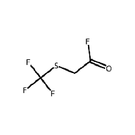 O=C(F)CSC(F)(F)F